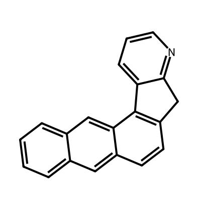 c1cnc2c(c1)-c1c(ccc3cc4ccccc4cc13)C2